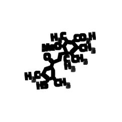 COC1C(C)=C(C(=O)O)C(C)=C(C)C1(C)C=CC(=O)c1cc(C)c(S)c(C)c1